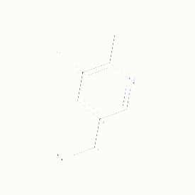 Cc1ncc(CC#N)cc1Br